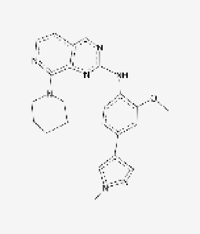 COc1cc(-c2cnn(C)c2)ccc1Nc1ncc2ccnc(N3CCCCC3)c2n1